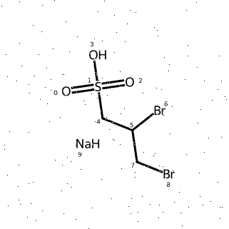 O=S(=O)(O)CC(Br)CBr.[NaH]